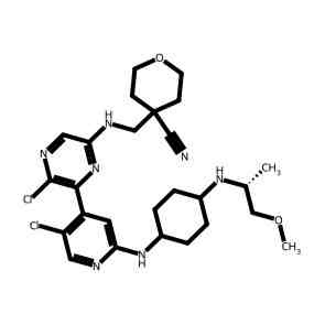 COC[C@@H](C)NC1CCC(Nc2cc(-c3nc(NCC4(C#N)CCOCC4)cnc3Cl)c(Cl)cn2)CC1